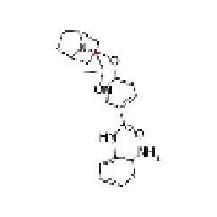 CC(C)(O)CN1C2CCC1CC(Oc1ccc(C(=O)Nc3ccccc3N)cc1)C2